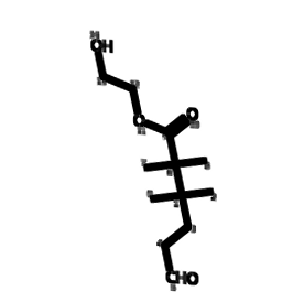 CC(C)(CCC=O)C(C)(C)C(=O)OCCO